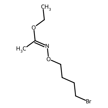 CCOC(C)=NOCCCCBr